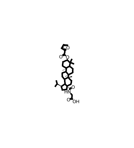 CC(C)[C@@H]1CC[C@]2(C(=O)NCC(=O)O)CC[C@]3(C)C(CCC4[C@@]5(C)CC[C@@H](OC(=O)c6ccco6)C(C)(C)C5CC[C@]43C)C12